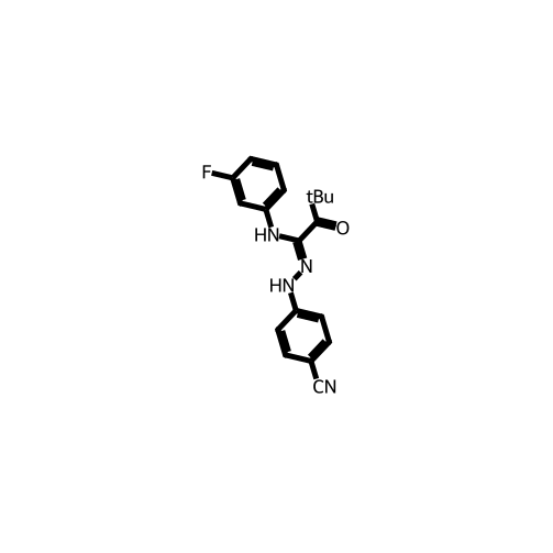 CC(C)(C)C(=O)/C(=N/Nc1ccc(C#N)cc1)Nc1cccc(F)c1